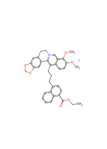 CCOC(=O)c1ccc(CCCc2c3[n+](cc4c(OC)c(OC)ccc24)CCc2cc4c(cc2-3)OCO4)c2ccccc12.[I-]